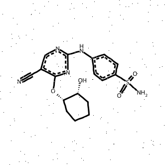 N#Cc1cnc(Nc2ccc(S(N)(=O)=O)cc2)nc1O[C@H]1CCCC[C@H]1O